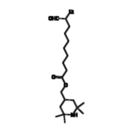 CCC(C=O)CCCCCCCC(=O)OCC1CC(C)(C)NC(C)(C)C1